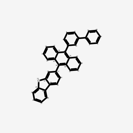 c1ccc(-c2cccc(-c3c4ccccc4c(-c4ccc5c(c4)oc4ccccc45)c4ccccc34)c2)cc1